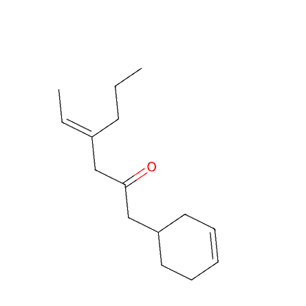 C/C=C(\CCC)CC(=O)CC1CC=CCC1